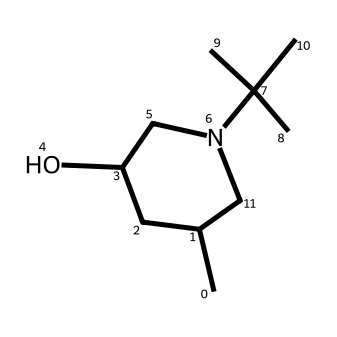 CC1CC(O)CN(C(C)(C)C)C1